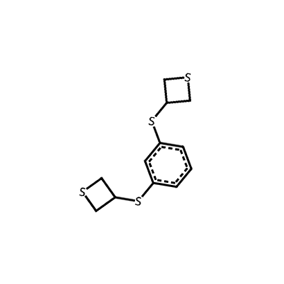 c1cc(SC2CSC2)cc(SC2CSC2)c1